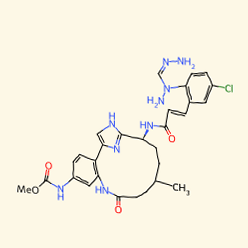 COC(=O)Nc1ccc2c(c1)NC(=O)CCC(C)CC[C@H](NC(=O)/C=C/c1cc(Cl)ccc1N(N)/C=N\N)c1nc-2c[nH]1